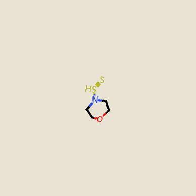 S=[SH]N1CCOCC1